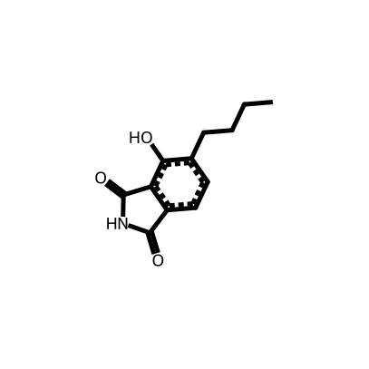 CCCCc1ccc2c(c1O)C(=O)NC2=O